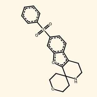 O=S(=O)(c1ccccc1)c1ccc2c3c(oc2c1)C1(CCOCC1)NCC3